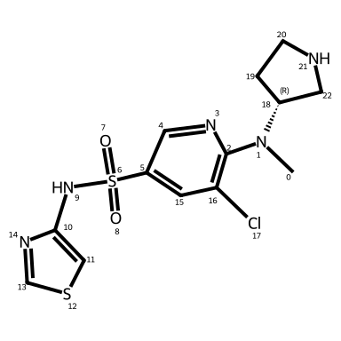 CN(c1ncc(S(=O)(=O)Nc2cscn2)cc1Cl)[C@@H]1CCNC1